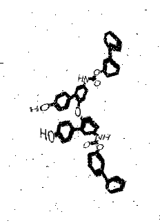 O=C(Nc1ccc(Oc2ccc(NC(=O)Oc3cccc(-c4ccccc4)c3)cc2-c2ccc(O)cc2)c(-c2ccc(O)cc2)c1)Oc1cccc(-c2ccccc2)c1